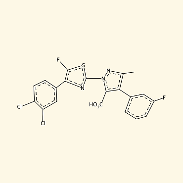 Cc1nn(-c2nc(-c3ccc(Cl)c(Cl)c3)c(F)s2)c(C(=O)O)c1-c1cccc(F)c1